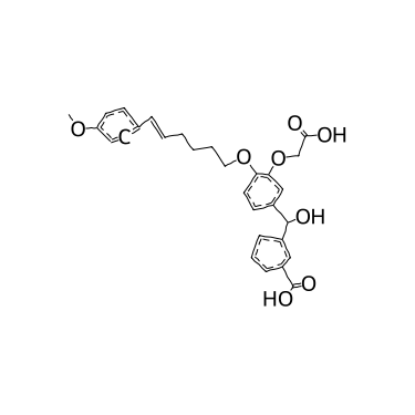 COc1ccc(C=CCCCCOc2ccc(C(O)c3cccc(C(=O)O)c3)cc2OCC(=O)O)cc1